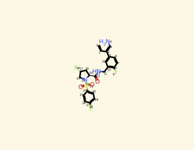 C=C/C(=C\N)c1ccc(F)c(CNC(=O)[C@@H]2C[C@@H](F)CN2S(=O)(=O)c2ccc(F)cc2)c1